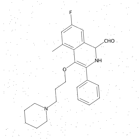 Cc1cc(F)cc2c1C(OCCCN1CCCCC1)=C(c1ccccc1)NC2C=O